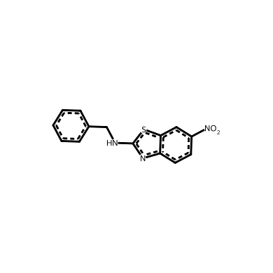 O=[N+]([O-])c1ccc2nc(NCc3ccccc3)sc2c1